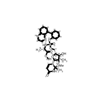 COC1(C)NC(=O)C=CN1[C@@H]1O[C@H](COP(=O)(N[C@@H](C)C(=O)OC(C)C)Oc2ccccc2-c2cccc3nccnc23)[C@@H](O)[C@@]1(C)F